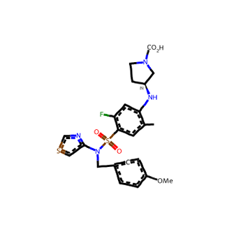 COc1ccc(CN(c2cscn2)S(=O)(=O)c2cc(C)c(N[C@H]3CCN(C(=O)O)C3)cc2F)cc1